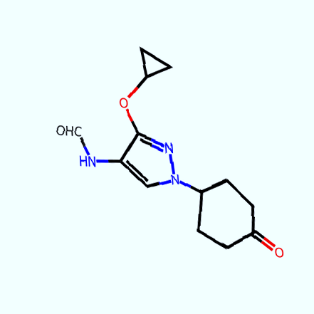 O=CNc1cn(C2CCC(=O)CC2)nc1OC1CC1